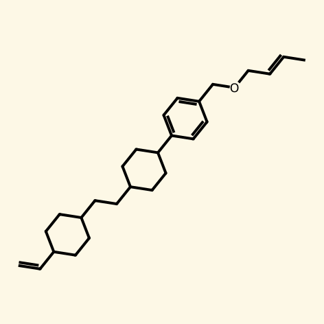 C=CC1CCC(CCC2CCC(c3ccc(COCC=CC)cc3)CC2)CC1